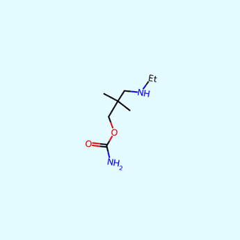 CCNCC(C)(C)COC(N)=O